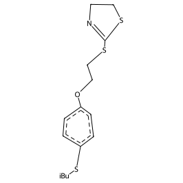 CCC(C)Sc1ccc(OCCSC2=NCCS2)cc1